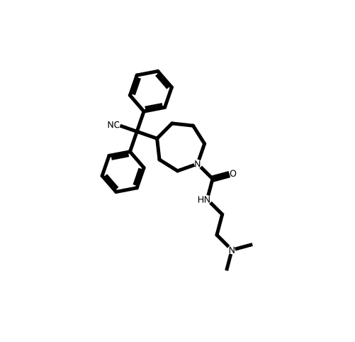 CN(C)CCNC(=O)N1CCCC(C(C#N)(c2ccccc2)c2ccccc2)CC1